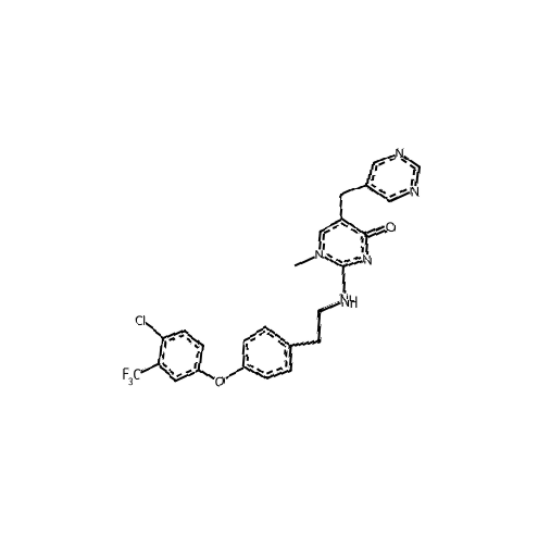 Cn1cc(Cc2cncnc2)c(=O)nc1NCCc1ccc(Oc2ccc(Cl)c(C(F)(F)F)c2)cc1